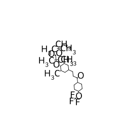 CC1CC(CCC(=O)C2CCC(OC(F)(F)F)CC2)CC(C)C1OC(C)(C)C(=O)OC(C)(C)C